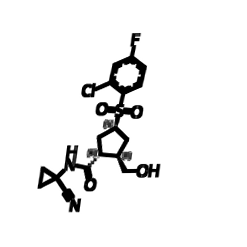 N#CC1(NC(=O)[C@@H]2C[C@@H](S(=O)(=O)c3ccc(F)cc3Cl)C[C@H]2CO)CC1